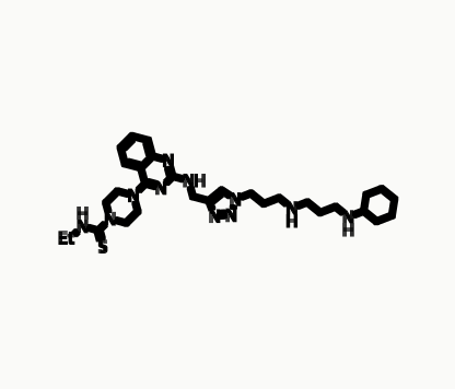 CCNC(=S)N1CCN(c2nc(NCc3cn(CCCNCCCNC4CCCCC4)nn3)nc3ccccc23)CC1